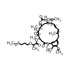 COc1cc2cc(c1Cl)N(C)C(=O)C[C@H](OC(=O)[C@@H](C)OCCCSSC)[C@]1(C)O[C@H]1[C@H](C)[C@@H]1C[C@@](O)(NC(=O)O1)[C@H](OC)/C=C/C=C(\C)C2